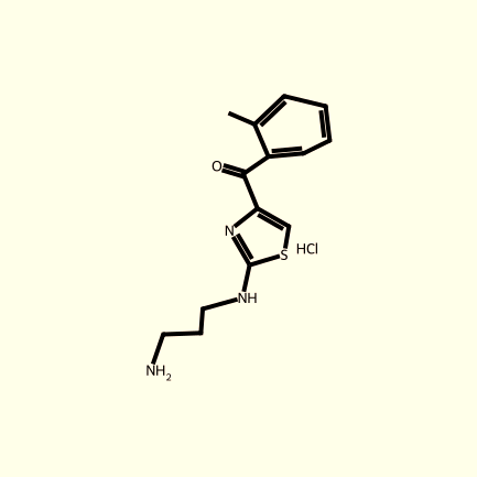 Cc1ccccc1C(=O)c1csc(NCCCN)n1.Cl